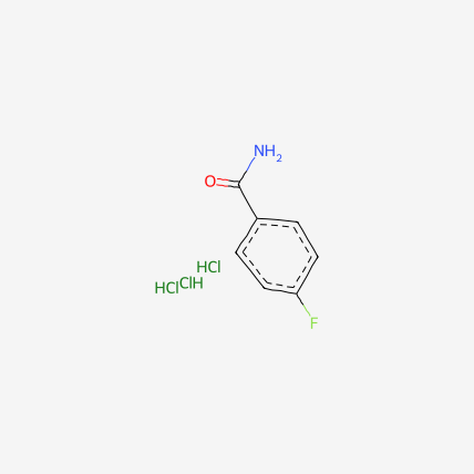 Cl.Cl.Cl.NC(=O)c1ccc(F)cc1